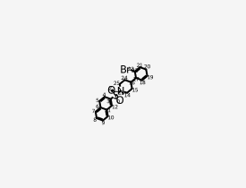 O=S(=O)(c1ccc2ccccc2c1)N1CCC(C2C=CCC=C2Br)CC1